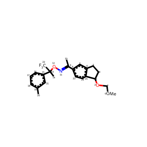 COCOC1CCc2cc(/C(C)=N/OC(C)(c3cccc(C)c3)C(F)(F)F)ccc21